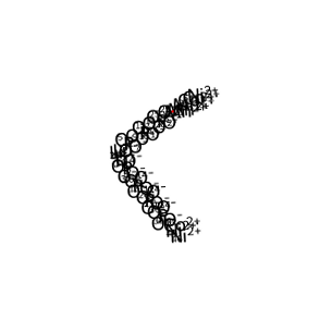 O=P([O-])([O-])[O-].O=P([O-])([O-])[O-].O=P([O-])([O-])[O-].O=P([O-])([O-])[O-].O=P([O-])([O-])[O-].O=P([O-])([O-])[O-].O=P([O-])([O-])[O-].[Co+2].[Co+2].[Co+2].[Li+].[Li+].[Li+].[Mn+2].[Mn+2].[Mn+2].[Ni+2].[Ni+2].[Ni+2]